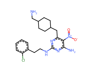 NCC1CCC(Cc2nc(NCCc3ccccc3Cl)nc(N)c2[N+](=O)[O-])CC1